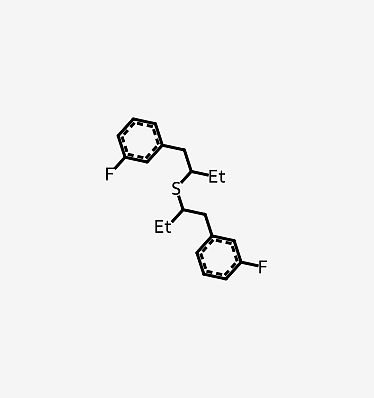 CCC(Cc1cccc(F)c1)SC(CC)Cc1cccc(F)c1